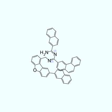 N/C(=N\C(=N/Cc1cccc2oc3ccc(-c4ccc5ccccc5c4)cc3c12)c1ccc2ccc3ccccc3c2c1)c1ccc2ccccc2c1